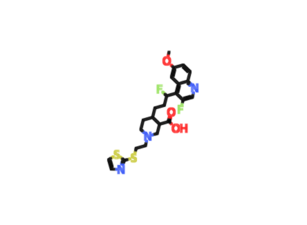 COc1ccc2ncc(F)c(C(F)CCC3CCN(CCSc4nccs4)CC3C(=O)O)c2c1